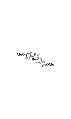 COC(=O)Cc1ccc2c(c1)CCC(c1ccc(OC)cc1)N2